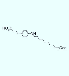 CCCCCCCCCCCCCCCCCCCNc1ccc(CCCC(=O)O)cc1